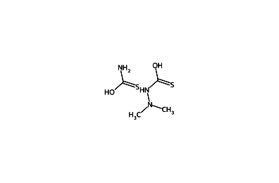 CN(C)NC(O)=S.NC(O)=S